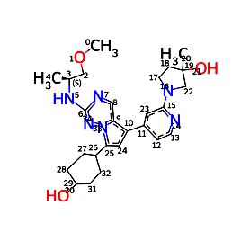 COC[C@H](C)Nc1ncc2c(-c3ccnc(N4CCC(C)(O)C4)c3)cc(C3CCC(O)CC3)n2n1